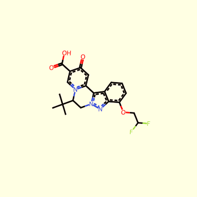 CC(C)(C)C1Cn2nc3c(OCC(F)F)cccc3c2-c2cc(=O)c(C(=O)O)cn21